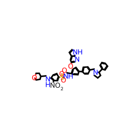 O=C(NS(=O)(=O)c1ccc(NCC2CCOCC2)c([N+](=O)[O-])c1)c1ccc(-c2ccc(CN3CCCC3c3ccccc3)cc2)cc1Oc1cnc2[nH]ccc2c1